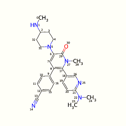 CNC1CCN(c2cc(-c3ccc(C#N)cc3)c(-c3ccc(N(C)C)nc3)n(C)c2=O)CC1